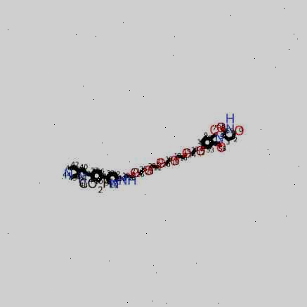 O=C1CCC(N2C(=O)c3ccc(OCCOCCOCCOCCOCCOCCNc4ccc(-c5ccc(-c6cc7ccncc7n6C(=O)O)cc5)cn4)cc3C2=O)C(=O)N1